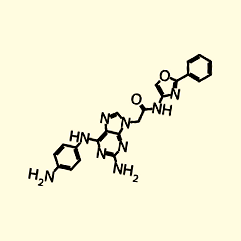 Nc1ccc(Nc2nc(N)nc3c2ncn3CC(=O)Nc2coc(-c3ccccc3)n2)cc1